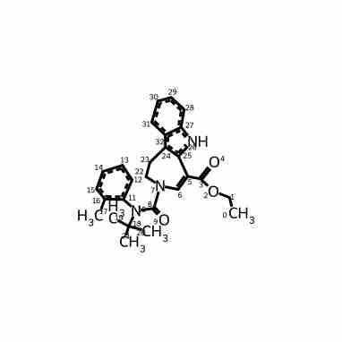 CCOC(=O)C1=CN(C(=O)N(c2ccccc2C)C(C)(C)C)CCc2c1[nH]c1ccccc21